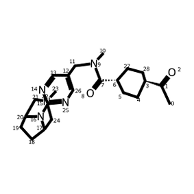 CC(=O)[C@H]1CC[C@H](C(=O)N(C)Cc2cnc(N3C4CCC3CN(C)C4)nc2)CC1